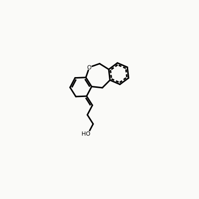 OCCC=C1CC=CC2=C1Cc1ccccc1CO2